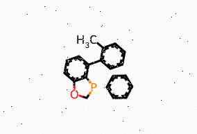 Cc1ccccc1-c1cccc2c1[P@@](c1ccccc1)CO2